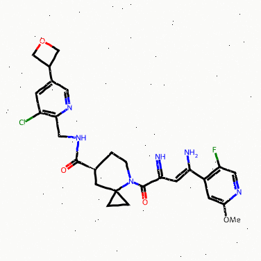 COc1cc(/C(N)=C/C(=N)C(=O)N2CC[C@H](C(=O)NCc3ncc(C4COC4)cc3Cl)CC23CC3)c(F)cn1